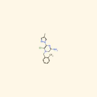 Cc1cnn(C2=C(Cl)N(Cc3ccccc3C(F)(F)F)CC(N)=N2)c1